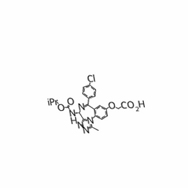 Cc1nnc2n1-c1ccc(OCC(=O)O)cc1C(c1ccc(Cl)cc1)=N[C@@H]2NC(=O)OC(C)C